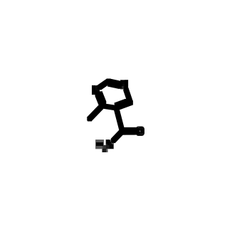 Cc1ncncc1C(N)=O